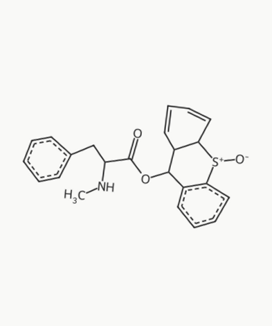 CNC(Cc1ccccc1)C(=O)OC1c2ccccc2[S+]([O-])C2C=CC=CC12